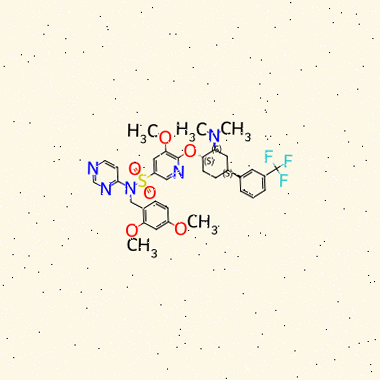 COc1ccc(CN(c2ccncn2)S(=O)(=O)c2cnc(O[C@H]3CC[C@H](c4cccc(C(F)(F)F)c4)C[C@@H]3N(C)C)c(OC)c2)c(OC)c1